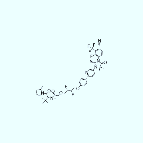 CC1CCCN1C(=O)C(NC(=O)COCC(F)C(F)COc1ccc(-c2ccc(N3C(=S)N(c4ccc(C#N)c(C(F)(F)F)c4F)C(=O)C3(C)C)cn2)cc1)C(C)(C)C